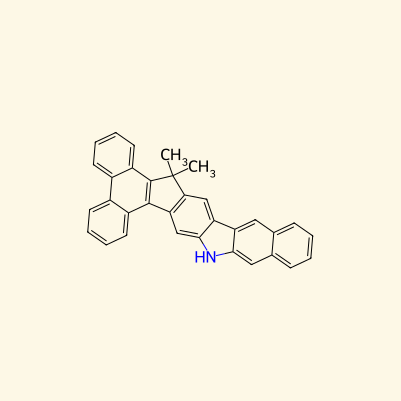 CC1(C)c2cc3c(cc2-c2c1c1ccccc1c1ccccc21)[nH]c1cc2ccccc2cc13